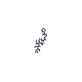 C=CC(=C\N(C)C)/C(C=C)=C(C)/C(NC(=C)SC(=C)/C(C)=C/C=N\C(=C)N1CCCCC1)=C(\C)CC